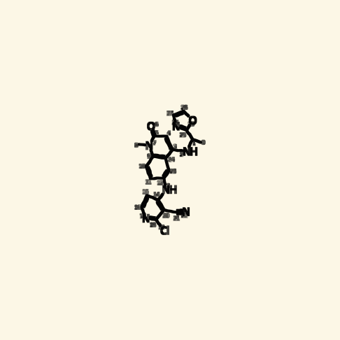 CC(Nc1cc(=O)n(C)c2ccc(Nc3ccnc(Cl)c3C#N)cc12)c1ncco1